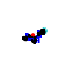 O=C(c1cnc2ccccc2n1)N1CCCCC1CNc1cnc2cc(F)c(F)cc2n1